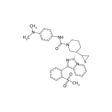 CN(C)c1ccc(NC(=O)N2CCC[C@@](c3nc(-c4ccccc4S(C)(=O)=O)c4ccccn34)(C3CS3)C2)cc1